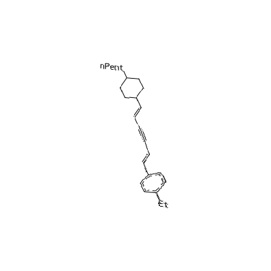 CCCCCC1CCC(C=CC#CC=Cc2ccc(CC)cc2)CC1